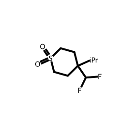 CC(C)C1(C(F)F)CCS(=O)(=O)CC1